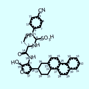 CC(C)C[C@H](NC(Nc1ccc(C#N)cc1)S(=O)(=O)O)C(=O)Nc1c(C2CCc3c(ccc4c3ccc3ccccc34)C2)coc1O